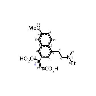 CCN(C)CCc1cccc2cc(OC)ccc12.O=C(O)/C=C/C(=O)O